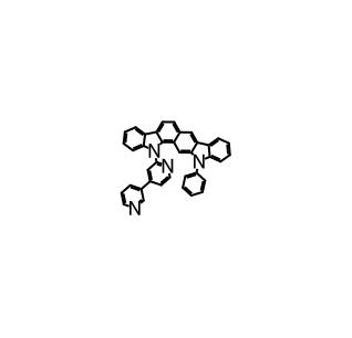 c1ccc(-n2c3ccccc3c3cc4ccc5c6ccccc6n(-c6cc(-c7cccnc7)ccn6)c5c4cc32)cc1